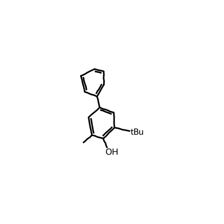 Cc1cc(-c2ccccc2)cc(C(C)(C)C)c1O